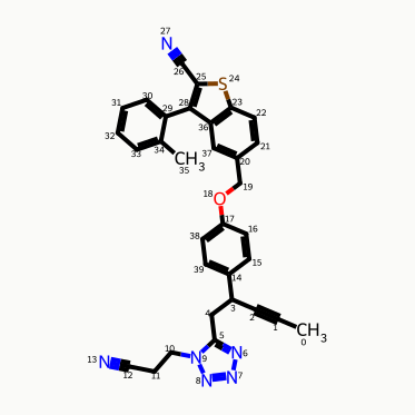 CC#CC(Cc1nnnn1CCC#N)c1ccc(OCc2ccc3sc(C#N)c(-c4ccccc4C)c3c2)cc1